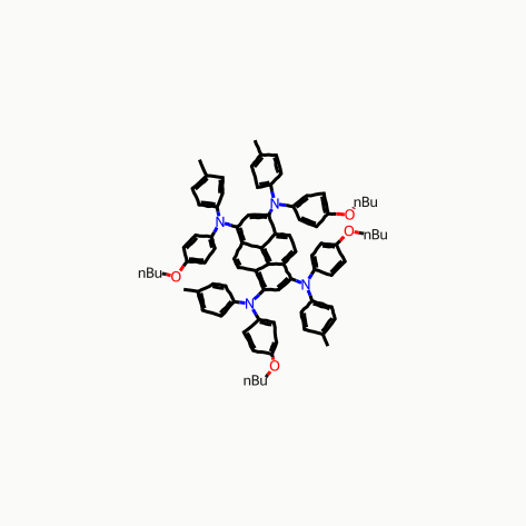 CCCCOc1ccc(N(c2ccc(C)cc2)c2cc(N(c3ccc(C)cc3)c3ccc(OCCCC)cc3)c3ccc4c(N(c5ccc(C)cc5)c5ccc(OCCCC)cc5)cc(N(c5ccc(C)cc5)c5ccc(OCCCC)cc5)c5ccc2c3c54)cc1